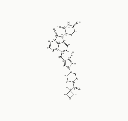 CC1(C(=O)N2CCC(n3cc(Nc4ccc5c6c(cccc46)C(=O)N5C4CCC(=O)NC4=O)c(Cl)n3)CC2)CCC1